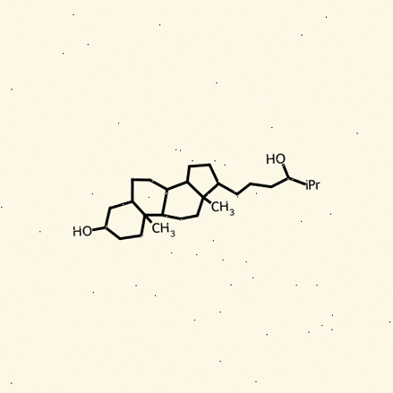 CC(C)C(O)CCCC1CCC2C3CCC4CC(O)CCC4(C)C3CCC12C